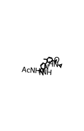 CC(=O)Nc1n[nH]c2nc(-c3cc(C(=O)NC4CC4)ccc3C)ccc12